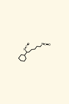 O=C=NCCCCCC(N=C=O)C1CCCCC1